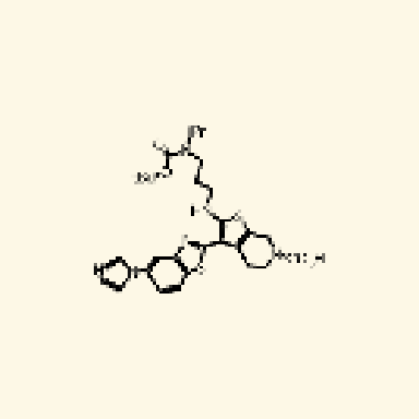 CC(C)N(CCCNc1sc2c(c1-c1nc3cc(-n4ccnc4)ccc3s1)CCN(C(=O)O)C2)C(=O)OC(C)(C)C